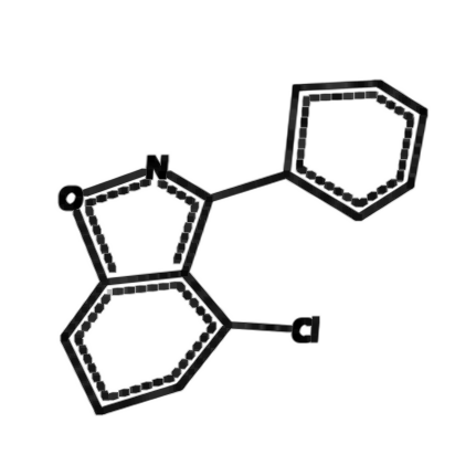 Clc1cccc2onc(-c3ccccc3)c12